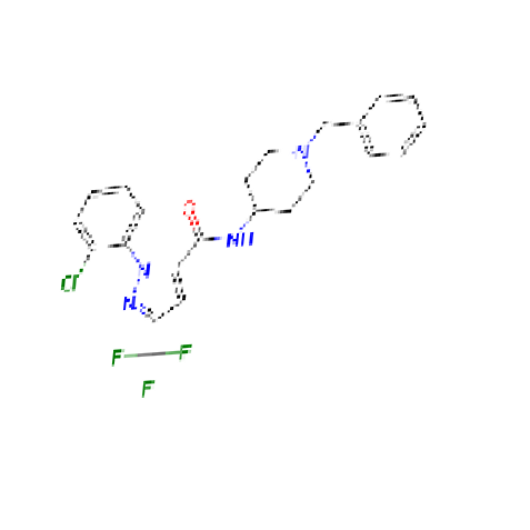 O=C(NC1CCN(Cc2ccccc2)CC1)c1cc(C(F)(F)F)nn1-c1ccccc1Cl